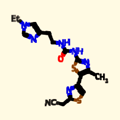 CCn1cnc(CCNC(=O)Nc2nc(C)c(-c3csc(CC#N)n3)s2)c1